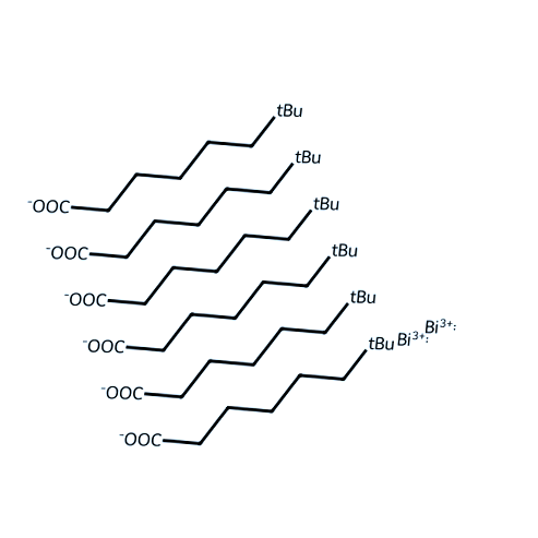 CC(C)(C)CCCCCC(=O)[O-].CC(C)(C)CCCCCC(=O)[O-].CC(C)(C)CCCCCC(=O)[O-].CC(C)(C)CCCCCC(=O)[O-].CC(C)(C)CCCCCC(=O)[O-].CC(C)(C)CCCCCC(=O)[O-].[Bi+3].[Bi+3]